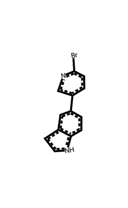 Brc1ccc(-c2ccc3[nH]ccc3c2)cn1